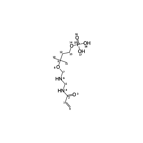 C=CC(=O)NCNCOC(C)(C)CCOP(=O)(O)O